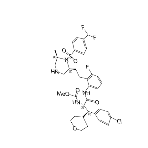 COC(=O)N[C@H](C(=O)Nc1cccc(F)c1CC[C@H]1CNC[C@@H](C)N1S(=O)(=O)c1ccc(C(F)F)cc1)[C@@H](c1ccc(Cl)cc1)C1CCOCC1